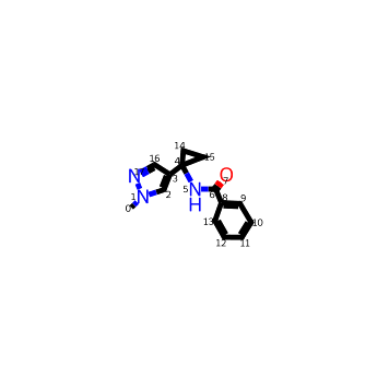 Cn1cc(C2(NC(=O)c3ccccc3)CC2)cn1